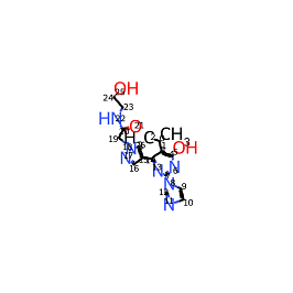 CC(C)c1c(O)nc(-n2ccnc2)nc1-c1cnn(CC(=O)NCCO)c1